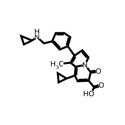 Cc1c(-c2cccc(CNC3CC3)c2)ccn2c(=O)c(C(=O)O)cc(C3CC3)c12